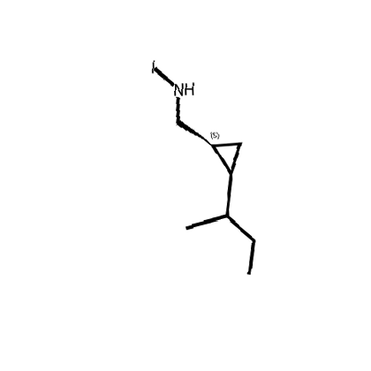 CCC(C)C1C[C@@H]1CNI